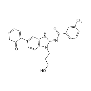 O=C1CC=CC=C1c1ccc2c(c1)[nH]/c(=N\C(=O)c1cccc(C(F)(F)F)c1)n2CCCO